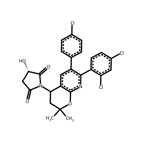 CC1(C)CC(N2C(=O)C[C@H](O)C2=O)c2cc(-c3ccc(Cl)cc3)c(-c3ccc(Cl)cc3Cl)nc2O1